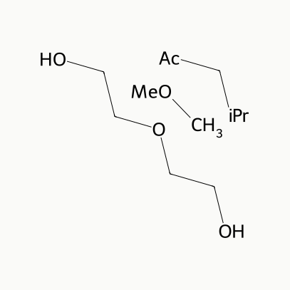 CC(=O)CC(C)C.COC.OCCOCCO